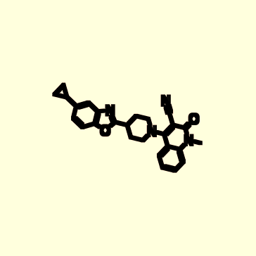 Cn1c(=O)c(C#N)c(N2CCC(c3nc4cc(C5CC5)ccc4o3)CC2)c2ccccc21